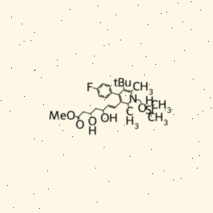 COC(=O)CC(O)CC(O)C=CC1=C(c2ccc(F)cc2)C(C(C)(C)C)=C(C)N(CO[SiH](C)C)C1C